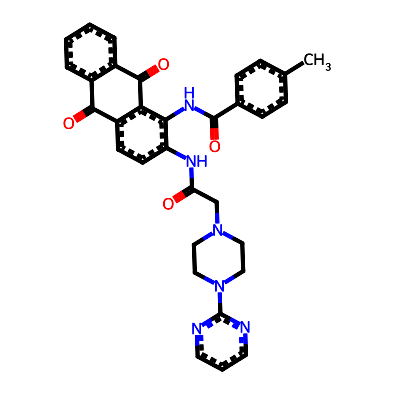 Cc1ccc(C(=O)Nc2c(NC(=O)CN3CCN(c4ncccn4)CC3)ccc3c2C(=O)c2ccccc2C3=O)cc1